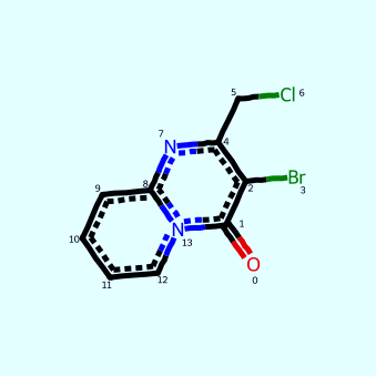 O=c1c(Br)c(CCl)nc2ccccn12